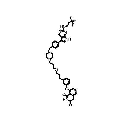 O=C1Cc2cccc(Oc3cccc(CCCOCCCN4CCN(Cc5ccc(-c6c[nH]c7nc(NCCC(F)(F)F)ncc67)cc5)CC4)c3)c2C(=O)N1